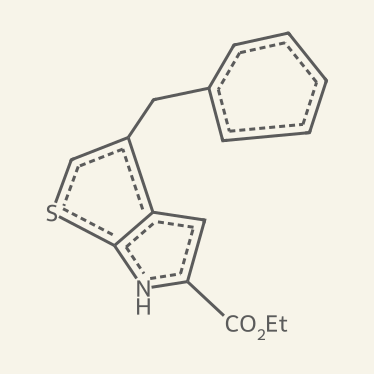 CCOC(=O)c1cc2c(Cc3ccccc3)csc2[nH]1